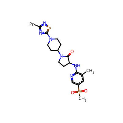 Cc1cc(S(C)(=O)=O)cnc1NC1CCN(C2CCN(c3nc(C(C)C)ns3)CC2)C1=O